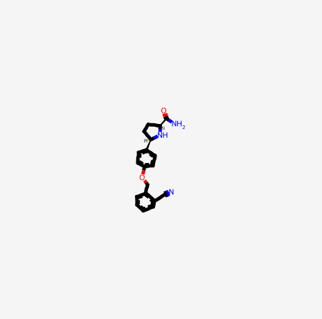 N#Cc1ccccc1COc1ccc([C@H]2CC[C@@H](C(N)=O)N2)cc1